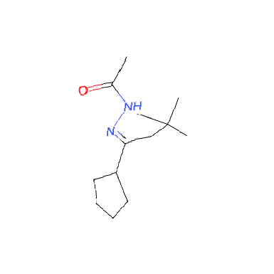 CC(=O)NN=C(CC(C)(C)C)C1CCCC1